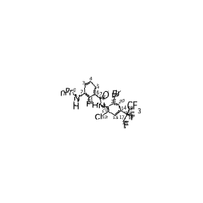 CCCNc1cccc(C(=O)Nc2c(Cl)cc(C(F)(CF)C(F)(F)F)cc2Br)c1F